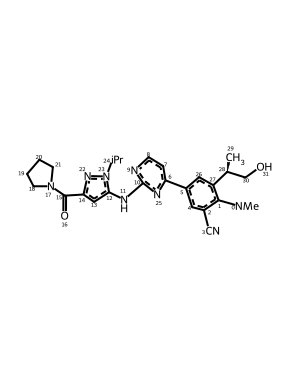 CNc1c(C#N)cc(-c2ccnc(Nc3cc(C(=O)N4CCCC4)nn3C(C)C)n2)cc1[C@@H](C)CO